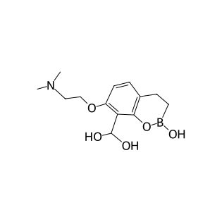 CN(C)CCOc1ccc2c(c1C(O)O)OB(O)CC2